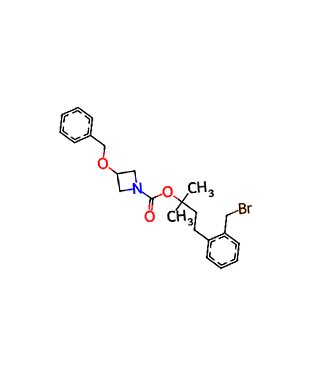 CC(C)(CCc1ccccc1CBr)OC(=O)N1CC(OCc2ccccc2)C1